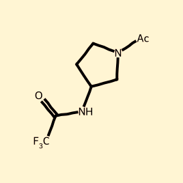 CC(=O)N1CCC(NC(=O)C(F)(F)F)C1